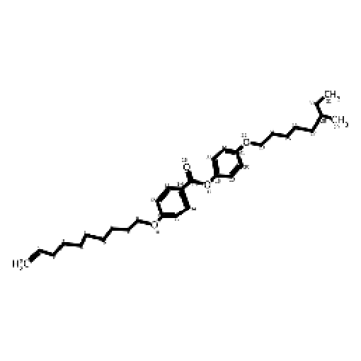 C=CCCCCCCCCOc1ccc(C(=O)Oc2ccc(OCCCCCC(C)CC)cc2)cc1